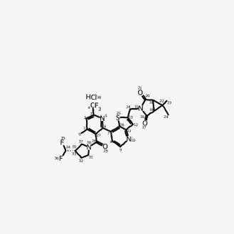 Cc1cc(C(F)(F)F)nc(-c2ccnc3cc(CN4C(=O)C5C(C4=O)C5(C)C)sc23)c1C(=O)N1CC[C@H](C(F)F)C1.Cl